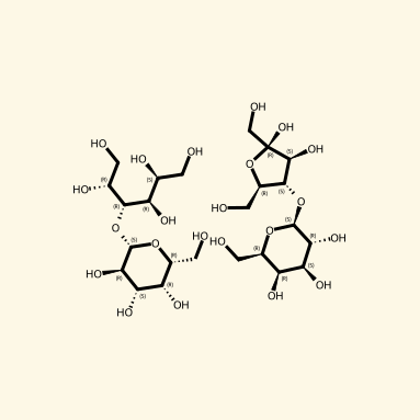 OC[C@@H](O)[C@@H](O[C@@H]1O[C@H](CO)[C@H](O)[C@H](O)[C@H]1O)[C@H](O)[C@@H](O)CO.OC[C@H]1O[C@@H](O[C@@H]2[C@@H](CO)O[C@](O)(CO)[C@H]2O)[C@H](O)[C@@H](O)[C@H]1O